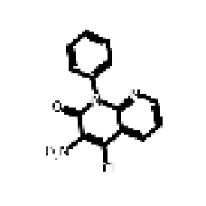 O=c1c([N+](=O)[O-])c(Cl)c2cccnc2n1-c1ccccc1